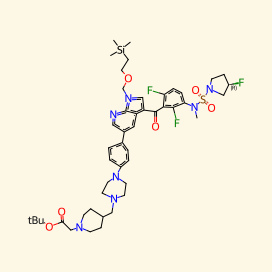 CN(c1ccc(F)c(C(=O)c2cn(COCC[Si](C)(C)C)c3ncc(-c4ccc(N5CCN(CC6CCN(CC(=O)OC(C)(C)C)CC6)CC5)cc4)cc23)c1F)S(=O)(=O)N1CC[C@@H](F)C1